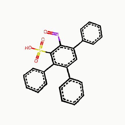 O=Ic1c(-c2ccccc2)cc(-c2ccccc2)c(-c2ccccc2)c1S(=O)(=O)O